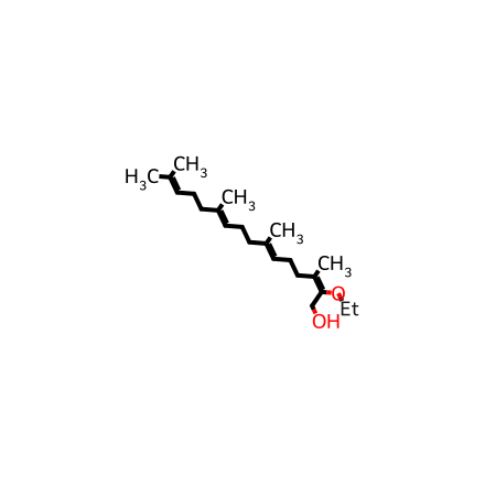 CCO/C(CO)=C(\C)CC/C=C(\C)CC/C=C(\C)CCC=C(C)C